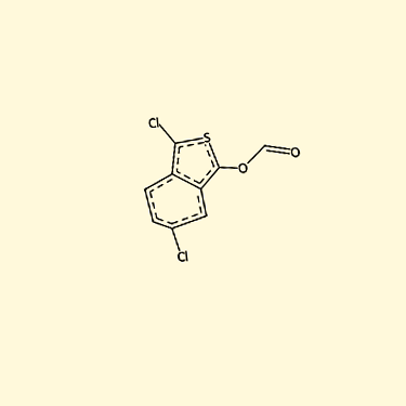 O=COc1sc(Cl)c2ccc(Cl)cc12